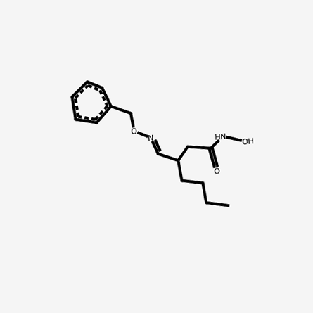 CCCCC(C=NOCc1ccccc1)CC(=O)NO